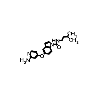 CC(C)CCNC(=O)n1ccc2cc(Oc3ccnc(N)c3)ccc21